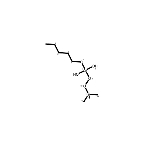 CCCCCO[Si](O)(O)OO[SiH](C)C